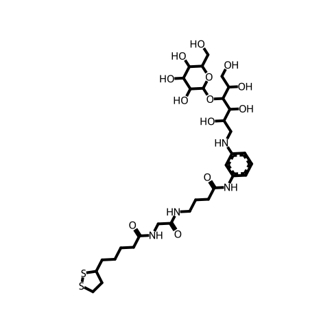 O=C(CCCCC1CCSS1)NCC(=O)NCCCC(=O)Nc1cccc(NCC(O)C(O)C(OC2OC(CO)C(O)C(O)C2O)C(O)CO)c1